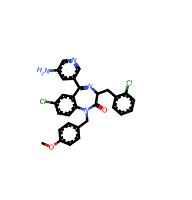 COc1ccc(CN2C(=O)C(Cc3ccccc3Cl)N=C(c3cncc(N)c3)c3cc(Cl)ccc32)cc1